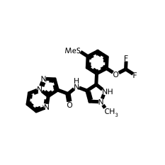 CSc1ccc(OC(F)F)c(C2NN(C)C=C2NC(=O)c2cnn3cccnc23)c1